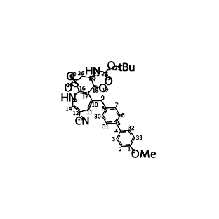 COc1ccc(-c2ccc(CC3=CC(C#N)=CNC4=C3C(=O)[C@@H](NC(=O)OC(C)(C)C)CS4(=O)=O)cc2)cc1